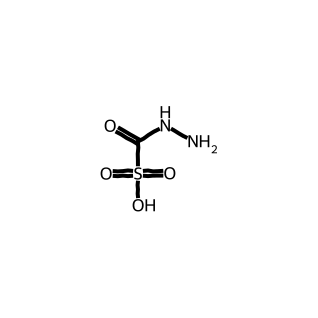 NNC(=O)S(=O)(=O)O